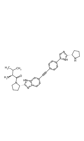 CC(C)[C@H](N)C(=O)N1CCC[C@H]1c1nc2ccc(C#Cc3ccc(-c4cnc([C@@H]5CCCN5)[nH]4)cc3)cc2[nH]1